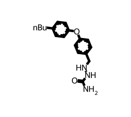 CCCCc1ccc(Oc2ccc(CNNC(N)=O)cc2)cc1